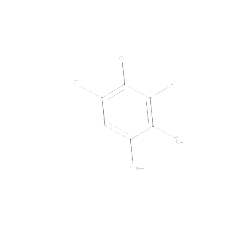 Oc1cc(F)c(F)c(F)c1Br